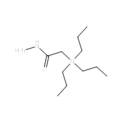 CCC[N+](CCC)(CCC)CC(=O)NN